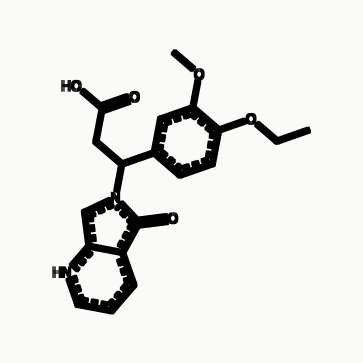 CCOc1ccc(C(CC(=O)O)n2cc3[nH]cccc-3c2=O)cc1OC